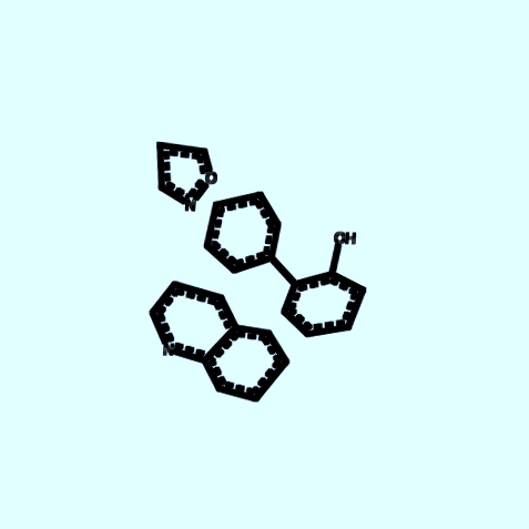 Oc1ccccc1-c1ccccc1.c1ccc2ncccc2c1.c1cnoc1